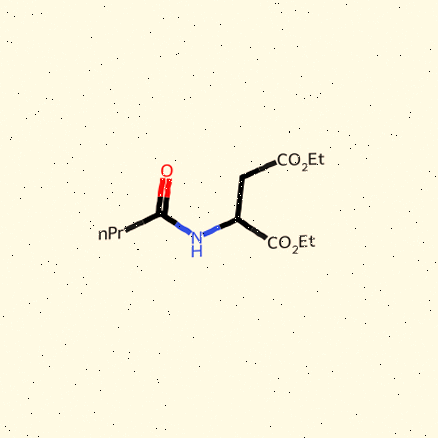 CCCC(=O)NC(CC(=O)OCC)C(=O)OCC